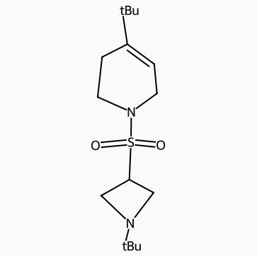 CC(C)(C)C1=CCN(S(=O)(=O)C2CN(C(C)(C)C)C2)CC1